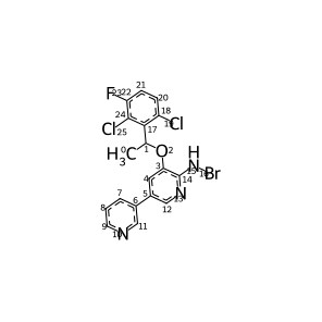 CC(Oc1cc(-c2cccnc2)cnc1NBr)c1c(Cl)ccc(F)c1Cl